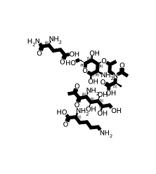 CC(=O)C(=O)[C@H](N)[C@@H](O)[C@H](O)[C@H](O)CO.CC(=O)N(CC(C)O[C@@H]1[C@@H](N)[C@@H](O)O[C@H](CO)[C@H]1O)[C@@H](C)C(=O)O.NC(=O)[C@H](N)CCC(=O)O.NCCCC[C@H](N)C(=O)O